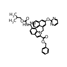 CC(C)COC(=O)NC(=N)c1ccc2cc(C(=O)OCc3ccccc3)n(Cc3cc(Oc4ncccn4)cc4ccccc34)c2c1